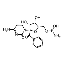 Nc1ccn([C@]2(C(=O)c3ccccc3)O[C@H](COP(N)O)[C@@H](O)[C@H]2O)c(=O)n1